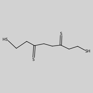 S=C(CCS)CCC(=S)CCS